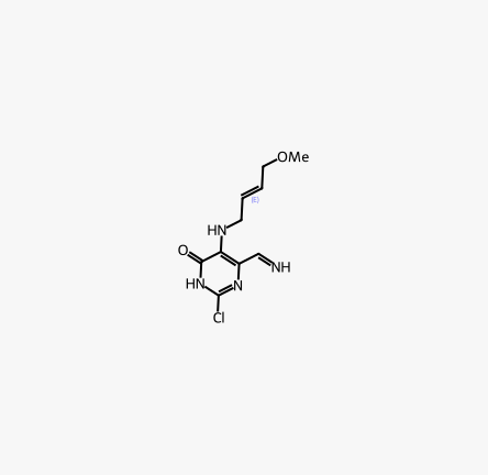 COC/C=C/CNc1c(C=N)nc(Cl)[nH]c1=O